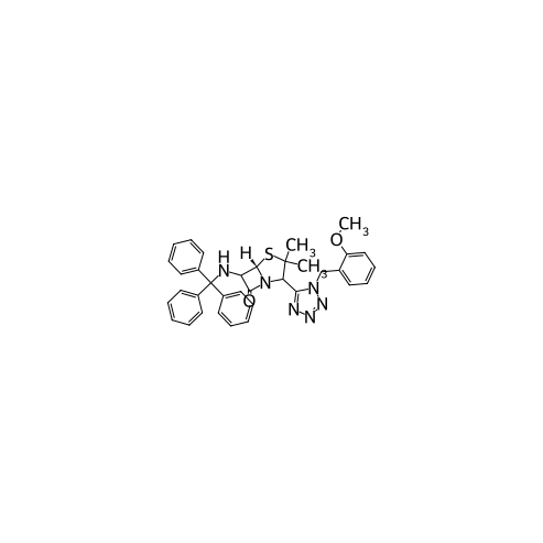 COc1ccccc1Cn1nnnc1C1N2C(=O)C(NC(c3ccccc3)(c3ccccc3)c3ccccc3)[C@@H]2SC1(C)C